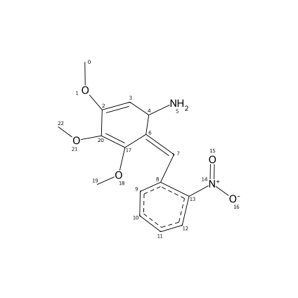 COC1=CC(N)/C(=C/c2ccccc2[N+](=O)[O-])C(OC)=C1OC